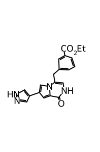 CCOC(=O)c1cccc(Cc2c[nH]c(=O)c3cc(-c4cn[nH]c4)cn23)c1